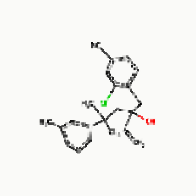 C=CC(O)(Cc1ccc(C#N)cc1Cl)CC(C)(C)c1cccc(C)c1